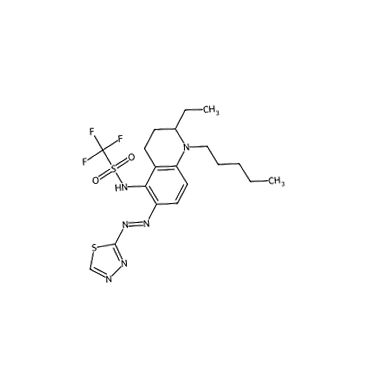 CCCCCN1c2ccc(N=Nc3nncs3)c(NS(=O)(=O)C(F)(F)F)c2CCC1CC